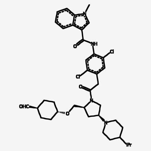 CC(C)C1CCN([C@H]2C[C@@H](CO[C@H]3CC[C@H](C=O)CC3)N(C(=O)Cc3cc(Cl)c(NC(=O)c4cn(C)c5ccccc45)cc3Cl)C2)CC1